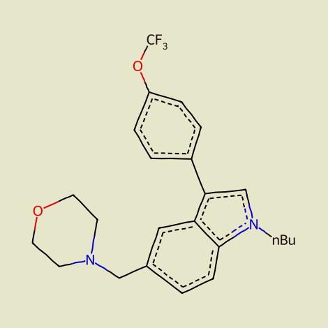 CCCCn1cc(-c2ccc(OC(F)(F)F)cc2)c2cc(CN3CCOCC3)ccc21